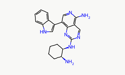 Nc1ncc(-c2c[nH]c3ccccc23)c2nc(N[C@@H]3CCCC[C@@H]3N)ncc12